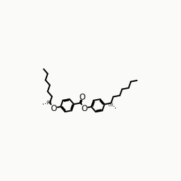 CCCCCC[C@@H](C)Oc1ccc(C(=O)Oc2ccc([C@@H](C)CCCCCC)cc2)cc1